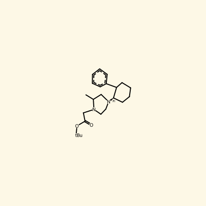 CC1CN([C@@H]2CCCCC2c2ccccc2)CCN1CC(=O)OC(C)(C)C